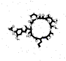 C=CCC1/C=C(\C)C(F)C(C)CC(OC)C2OC(O)(C(=O)C(=O)N3CCCCC3C(=O)OC(C(C)=CC3CCC(NC(C)=O)C(OC)C3)C(C)C(O)CC1=O)C(C)CC2OC